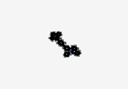 c1ccc(N(c2ccc(-c3ccc(-c4ccc(S(c5ccccc5)(c5ccccc5)c5ccccc5)cc4)cc3)cc2)c2cc3ccccc3c3ccccc23)cc1